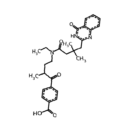 CCN(CCC(C)C(=O)c1ccc(C(=O)O)cc1)C(=O)CC(C)(C)Cc1nc2ccccc2c(=O)[nH]1